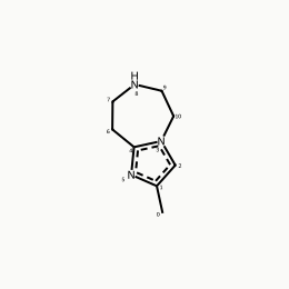 Cc1cn2c(n1)CCNCC2